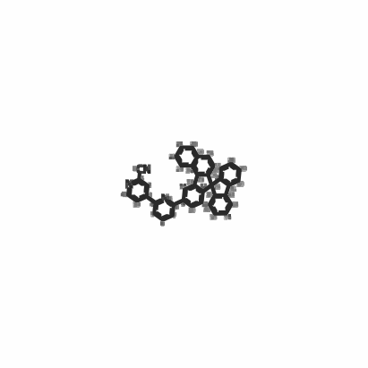 N#Cc1cc(-c2cccc(-c3ccc4c(c3)-c3c(ccc5ccccc35)C43c4ccccc4-c4ccccc43)n2)ccn1